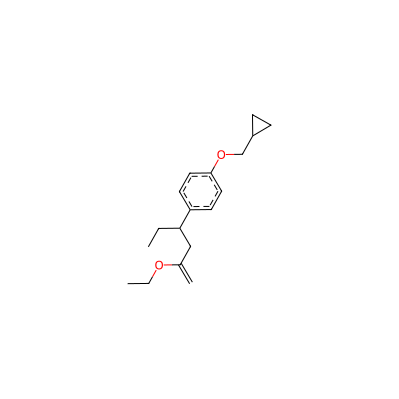 C=C(CC(CC)c1ccc(OCC2CC2)cc1)OCC